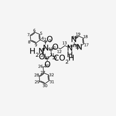 NN(C(=O)c1ccccc1)C(OCCNc1ncccn1)[C@@H](C(=O)O)C(=O)OCc1ccccc1